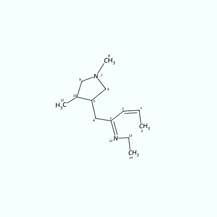 C/C=C\C(CC1CN(C)CC1C)=N/CC